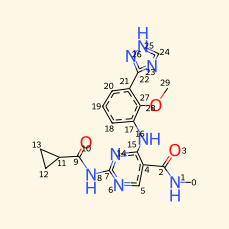 CNC(=O)c1cnc(NC(=O)C2CC2)nc1Nc1cccc(-c2nc[nH]n2)c1OC